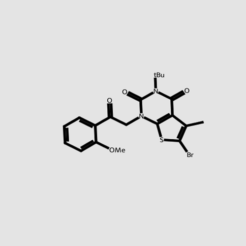 COc1ccccc1C(=O)Cn1c(=O)n(C(C)(C)C)c(=O)c2c(C)c(Br)sc21